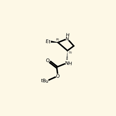 CC[C@H]1NC[C@@H]1NC(=O)OC(C)(C)C